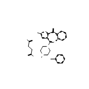 Cc1cc2c(N3CCN(C)[C@@H](Cc4ccccc4)C3)nc3ccccc3c(=O)c2s1.O=C(O)CCC(=O)O